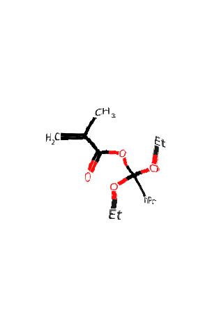 C=C(C)C(=O)OC(CCC)(OCC)OCC